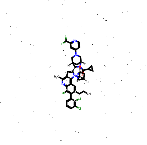 Cc1nc2c(F)c(-c3cccc(Cl)c3Cl)c(CCC#N)cc2c2c1cc([C@H]1[C@H]3C[C@H](CN(c4ccnc(C(F)F)c4)C3)N1C(=O)C1CC1)n2[C@H]1[C@H]2CN[C@@H]1C2